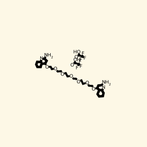 Nc1cc(OCCOCCOCCOCCOCCOCCOc2cc(N)nc3ccccc23)c2ccccc2n1.O=C(O)C(F)(F)F.O=C(O)C(F)(F)F